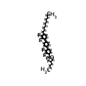 C=CCCC1COC(c2ccc(-c3ccc(-c4ccc(CCCCCCCCCC)c(F)c4F)cc3)c(F)c2F)OC1